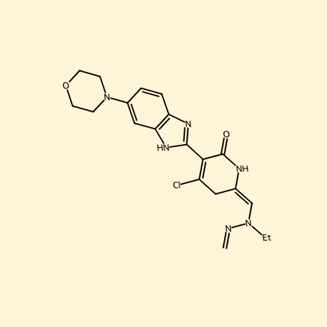 C=NN(/C=C1\CC(Cl)=C(c2nc3ccc(N4CCOCC4)cc3[nH]2)C(=O)N1)CC